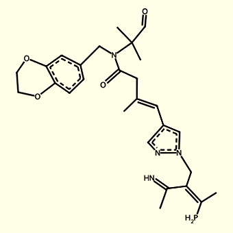 CC(=N)/C(Cn1cc(/C=C(\C)CC(=O)N(Cc2ccc3c(c2)OCCO3)C(C)(C)C=O)cn1)=C(/C)P